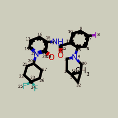 CC12CCN(c3cc(I)ccc3C(=O)Nc3cccn(C4CCC(F)(F)CC4)c3=O)CC1C2